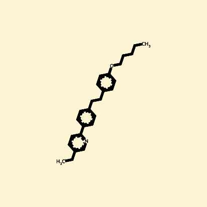 CCCCCOc1ccc(CCc2ccc(-c3ccc(CC)cn3)cc2)cc1